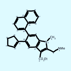 CCOC(=O)c1c(CNC)n(C)c2cc(-c3cccc4ccccc34)c(C3=CCCC3)cc12